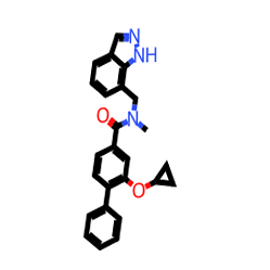 CN(Cc1cccc2cn[nH]c12)C(=O)c1ccc(-c2ccccc2)c(OC2CC2)c1